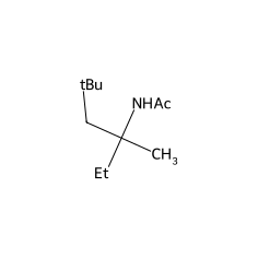 CCC(C)(CC(C)(C)C)NC(C)=O